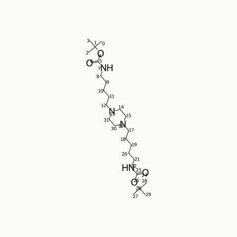 CC(C)(C)OC(=O)NCCCCCN1CCN(CCCCCNC(=O)OC(C)(C)C)CC1